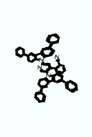 N#Cc1ccc#cc1-c1cc(-n2c3ccc(-c4ccccc4)cc3c3cc(-c4ccccc4)ccc32)ncc1-n1c2c(c3cc(-c4ccccc4)ccc31)C=C(c1ccccc1)CC2